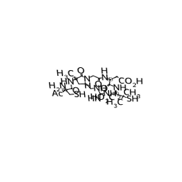 CC(=O)[C@](N)(CS)C(=O)N[C@@](C)(CCCNC(=N)N)C(=O)NCC(=O)N[C@@H](CC(=O)O)C(=O)N[C@H](C(=O)O)C(C)(C)S